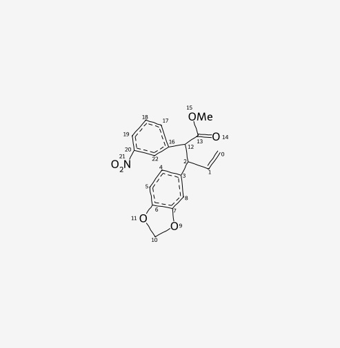 C=CC(c1ccc2c(c1)OCO2)C(C(=O)OC)c1cccc([N+](=O)[O-])c1